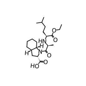 CCOC(=O)[C@H](CCC(C)C)N[C@@H](C)C(=O)N1[C@H](C(=O)O)C[C@@H]2CCCC[C@@H]21